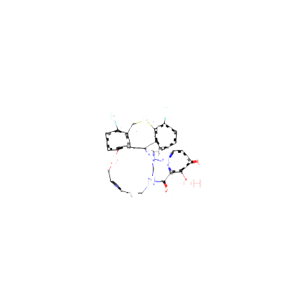 O=C1c2c(O)c(=O)ccn2N2CN1CC/C=C\COc1ccc(F)c3c1[C@H]2c1cccc(F)c1SC3